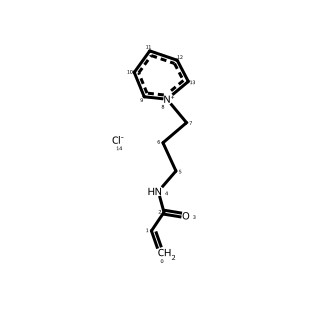 C=CC(=O)NCCC[n+]1ccccc1.[Cl-]